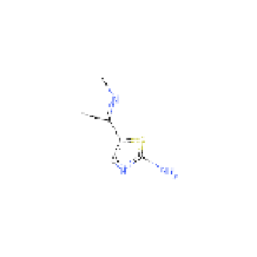 C/N=C(\C)c1cnc(N)s1